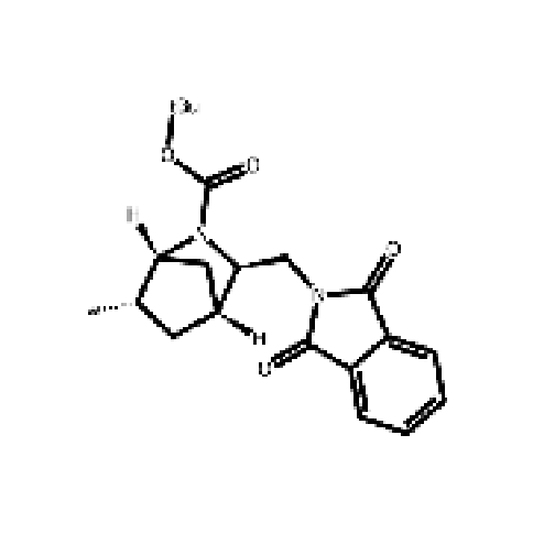 C[C@H]1C[C@@H]2C[C@H]1N(C(=O)OC(C)(C)C)[C@H]2CN1C(=O)c2ccccc2C1=O